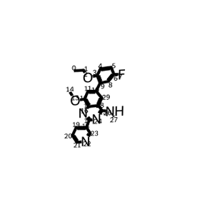 CCOc1ccc(F)cc1-c1cc(OC)c2nc(-c3cccnc3)nc(NC)c2c1